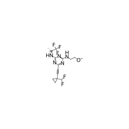 COCCNc1nc(C#CC2(C(F)F)CC2)nc(N[C@H](C)C(F)(F)F)n1